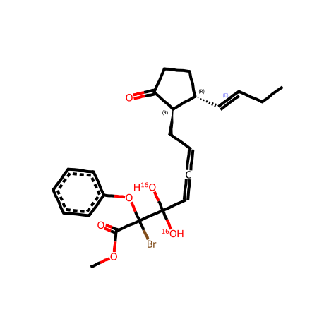 CC/C=C/[C@H]1CCC(=O)[C@@H]1CC=C=CC([16OH])([16OH])C(Br)(Oc1ccccc1)C(=O)OC